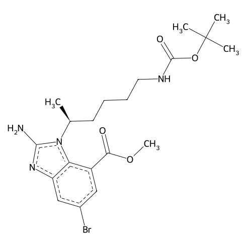 COC(=O)c1cc(Br)cc2nc(N)n([C@@H](C)CCCCNC(=O)OC(C)(C)C)c12